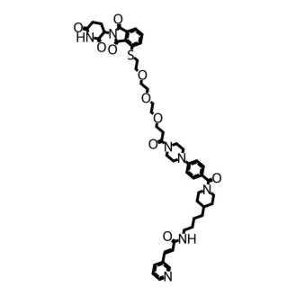 O=C(/C=C/c1cccnc1)NCCCCC1CCN(C(=O)c2ccc(N3CCN(C(=O)CCOCCOCCOCCSc4cccc5c4C(=O)N(C4CCC(=O)NC4=O)C5=O)CC3)cc2)CC1